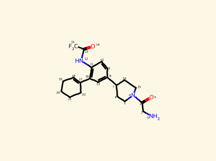 NCC(=O)N1CCC(c2ccc(NC(=O)C(F)(F)F)c(C3=CCCCC3)c2)CC1